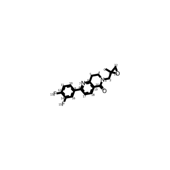 CC1(CN2CCc3nc(-c4ccc(F)c(F)c4)ccc3C2=O)CO1